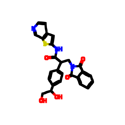 O=C(Nc1cc2ccncc2s1)C(CN1C(=O)c2ccccc2C1=O)c1ccc(C(O)CO)cc1